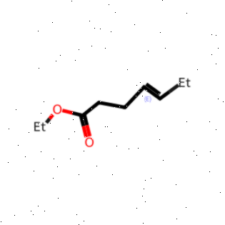 CC/C=C/CCC(=O)OCC